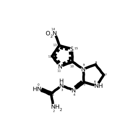 N=C(N)NN=C1NCCN1c1ncc([N+](=O)[O-])s1